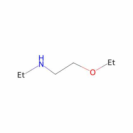 [CH2]CNCCOCC